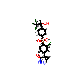 CC(O)(c1ccc(S(=O)(=O)c2ccc(C3(C(N)=O)CC3)cc2Cl)cc1)C(F)(F)F